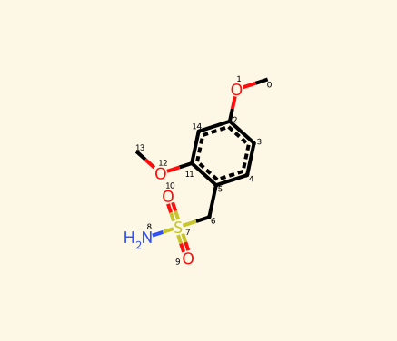 COc1ccc(CS(N)(=O)=O)c(OC)c1